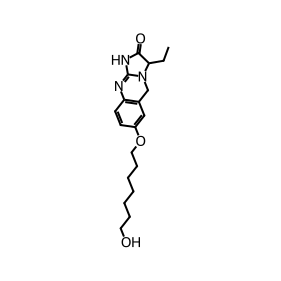 CCC1C(=O)NC2=Nc3ccc(OCCCCCCCO)cc3CN21